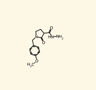 COc1ccc(CN2CCC(C(=O)NN)C2=O)cc1